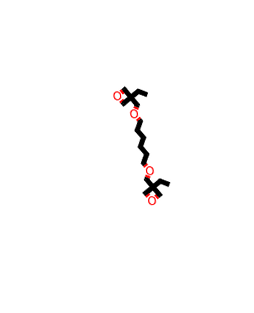 CCC1(COCCCCCCOCC2(CC)COC2)COC1